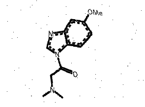 COc1ccc2c(c1)ncn2C(=O)CN(C)C